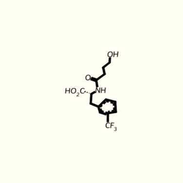 O=C(CCCO)N[C@H](Cc1cccc(C(F)(F)F)c1)C(=O)O